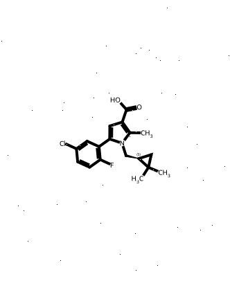 Cc1c(C(=O)O)cc(-c2cc(Cl)ccc2F)n1C[C@H]1CC1(C)C